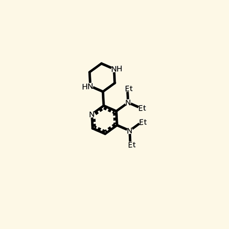 CCN(CC)c1ccnc(C2CNCCN2)c1N(CC)CC